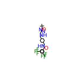 CC(C)(C)c1nc(CNCC2CCC(CNC(=O)c3cc(C(F)(F)F)cc(C(F)(F)F)c3)CC2)no1